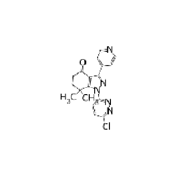 CC1(C)CCC(=O)c2c(-c3ccncc3)nn(-c3ccc(Cl)nn3)c21